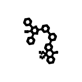 CC1(C)c2ccccc2C(=O)c2cc(-c3cccc(-c4cccc(-c5nc(-c6ccccc6)c(C#N)c(-c6ccccc6)n5)c4)c3)ccc21